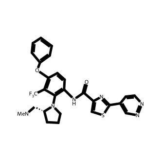 CNC[C@H]1CCCN1c1c(NC(=O)c2csc(-c3ccnnc3)n2)ccc(Oc2ccccc2)c1C(F)(F)F